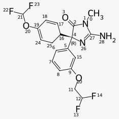 CN1C(=O)[C@](c2cccc(OCC(F)F)c2)(C2C=CC(OC(F)F)=CC2)N=C1N